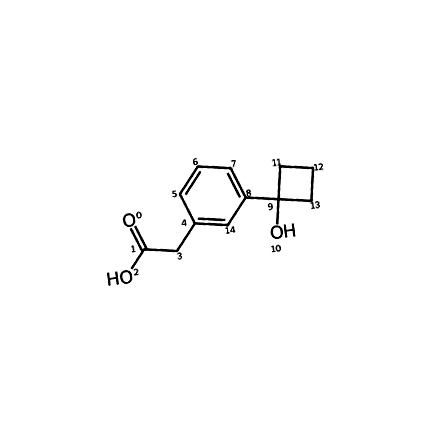 O=C(O)Cc1cccc(C2(O)CCC2)c1